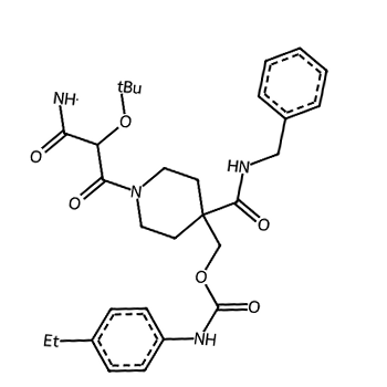 CCc1ccc(NC(=O)OCC2(C(=O)NCc3ccccc3)CCN(C(=O)C(OC(C)(C)C)C([NH])=O)CC2)cc1